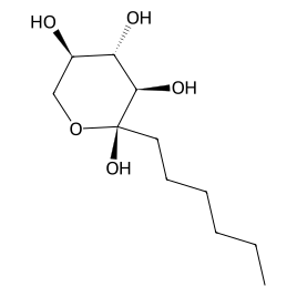 CCCCCC[C@]1(O)OC[C@@H](O)[C@H](O)[C@H]1O